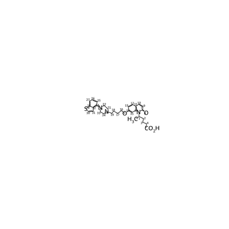 CC(CCCC(=O)O)n1c(=O)ccc2ccc(OCCCCN3CCN(c4cccc5sccc45)CC3)cc21